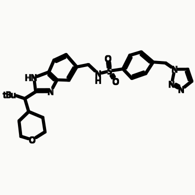 CC(C)(C)C(c1nc2cc(CNS(=O)(=O)c3ccc(Cn4ccnn4)cc3)ccc2[nH]1)C1CCOCC1